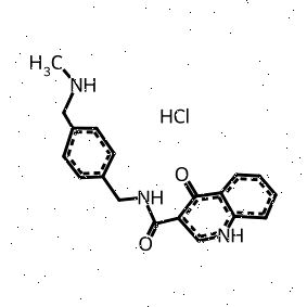 CNCc1ccc(CNC(=O)c2c[nH]c3ccccc3c2=O)cc1.Cl